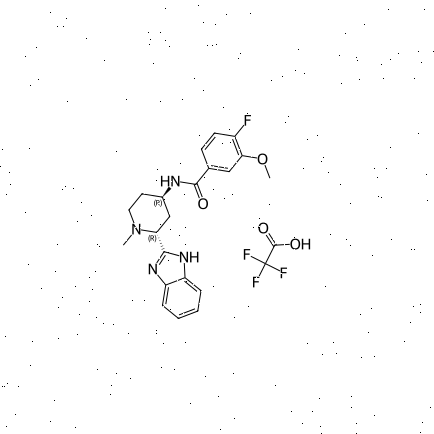 COc1cc(C(=O)N[C@@H]2CCN(C)[C@@H](c3nc4ccccc4[nH]3)C2)ccc1F.O=C(O)C(F)(F)F